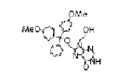 COc1ccc(C(OCc2nc3c(=O)[nH]cnc3n2CCO)(c2ccccc2)c2ccc(OC)cc2)cc1